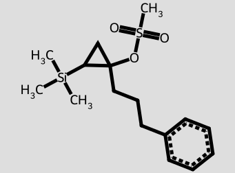 C[Si](C)(C)C1CC1(CCCc1ccccc1)OS(C)(=O)=O